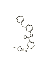 CC1CN(Sc2cccc(C(=O)Oc3cccc(Cc4ccccc4)c3)c2)C1